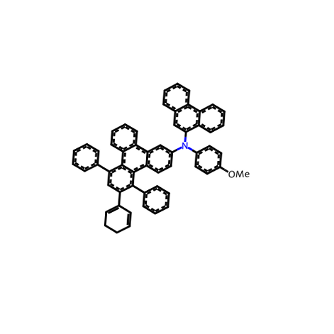 COc1ccc(N(c2ccc3c(c2)c2ccccc2c2c(-c4ccccc4)cc(C4=CCCC=C4)c(-c4ccccc4)c32)c2cc3ccccc3c3ccccc23)cc1